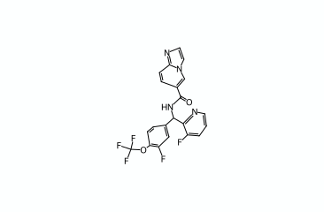 O=C(NC(c1ccc(OC(F)(F)F)c(F)c1)c1ncccc1F)c1ccc2nccn2c1